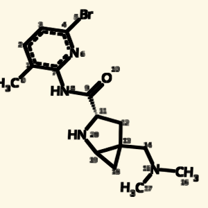 Cc1ccc(Br)nc1NC(=O)[C@@H]1CC2(CN(C)C)CC2N1